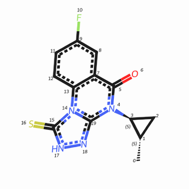 C[C@H]1C[C@@H]1n1c(=O)c2cc(F)ccc2n2c(=S)[nH]nc12